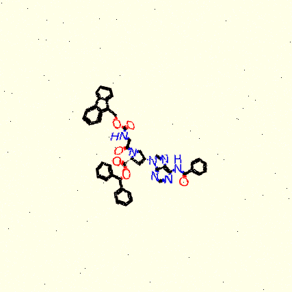 O=C(NCC(=O)N1C[C@H](n2cnc3c(NC(=O)c4ccccc4)ncnc32)C[C@@H]1C(=O)OC(c1ccccc1)c1ccccc1)OCC1c2ccccc2-c2ccccc21